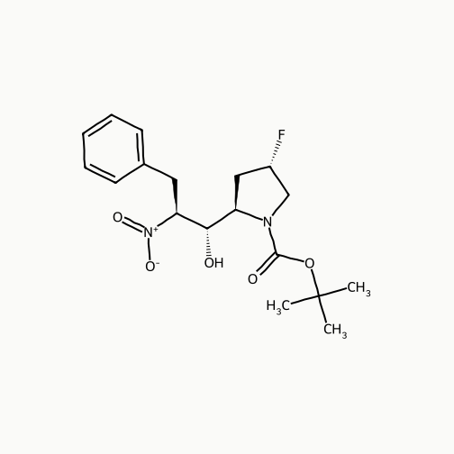 CC(C)(C)OC(=O)N1C[C@@H](F)C[C@@H]1[C@H](O)[C@H](Cc1ccccc1)[N+](=O)[O-]